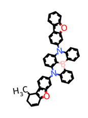 CC1CC=Cc2oc3cc(N4c5ccccc5B5c6ccccc6N(c6ccc7c(c6)oc6ccccc67)c6cccc4c65)ccc3c21